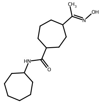 C/C(=N\O)C1CCCC(C(=O)NC2CCCCCC2)CC1